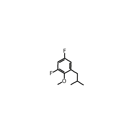 COc1c(F)cc(F)cc1CC(C)C